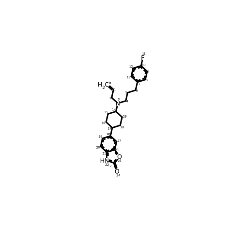 C=CCN(CCCc1ccc(F)cc1)C1CCC(c2ccc3[nH]c(=O)oc3c2)CC1